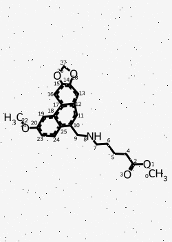 COC(=O)CCCCNCc1cc2cc3c(cc2c2cc(OC)ccc12)OCO3